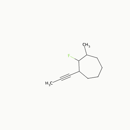 CC#CC1CCCCC(C)C1F